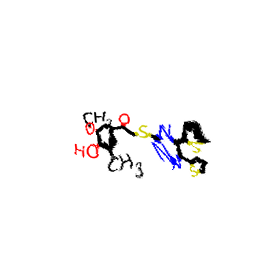 COc1cc(C(=O)CSc2nnc(-c3cccs3)c(-c3cccs3)n2)cc(C)c1O